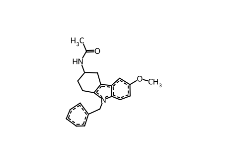 COc1ccc2c(c1)c1c(n2Cc2ccccc2)CCC(NC(C)=O)C1